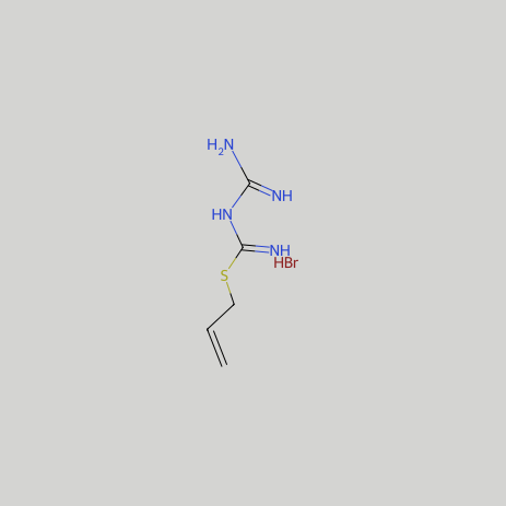 Br.C=CCSC(=N)NC(=N)N